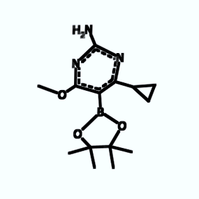 COc1nc(N)nc(C2CC2)c1B1OC(C)(C)C(C)(C)O1